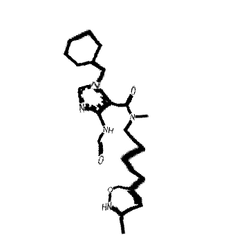 CC1C=C(CCCCN(C)C(=O)c2c(NC=O)ncn2CC2CCCCC2)ON1